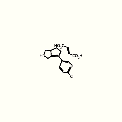 Clc1ccc(C2=C3CNCC3CC2)cn1.O=C(O)C=CC(=O)O